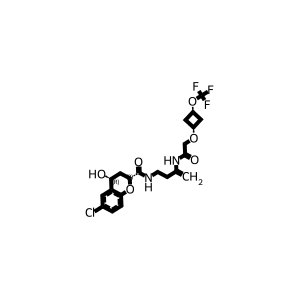 C=C(CCNC(=O)[C@H]1C[C@@H](O)c2cc(Cl)ccc2O1)NC(=O)CO[C@H]1C[C@@H](OC(F)(F)F)C1